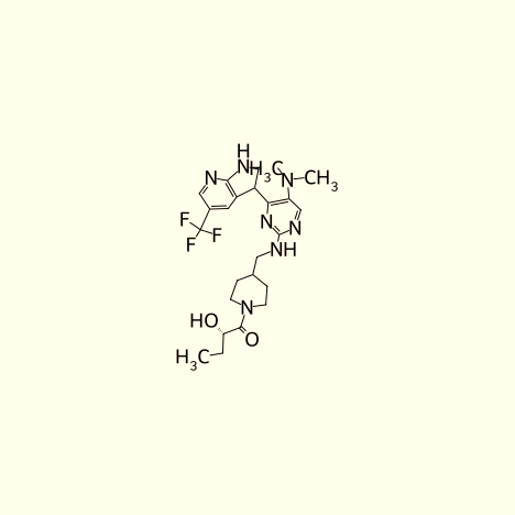 CC[C@H](O)C(=O)N1CCC(CNc2ncc(N(C)C)c(C3CNc4ncc(C(F)(F)F)cc43)n2)CC1